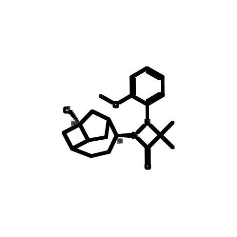 COc1ccccc1N1N([C@H]2CCC3C[C@@]4(Cl)CC2CC34)C(=O)C1(C)C